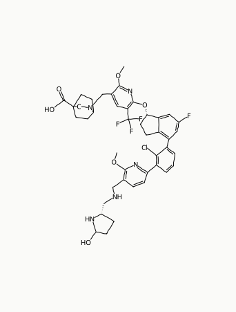 COc1nc(-c2cccc(-c3cc(F)cc4c3CC[C@@H]4Oc3nc(OC)c(CN4CC5(C(=O)O)CCC4CC5)cc3C(F)(F)F)c2Cl)ccc1CNC[C@@H]1CCC(O)N1